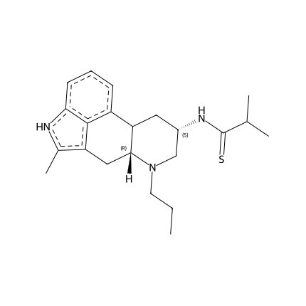 CCCN1C[C@@H](NC(=S)C(C)C)CC2c3cccc4[nH]c(C)c(c34)C[C@H]21